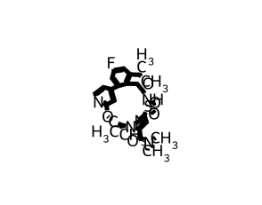 CC(C)c1cc(F)cc2c1CC(=O)NS(=O)(=O)c1cc(C(=O)N(C)C)n(n1)C(C)(C)COc1cc-2ccn1